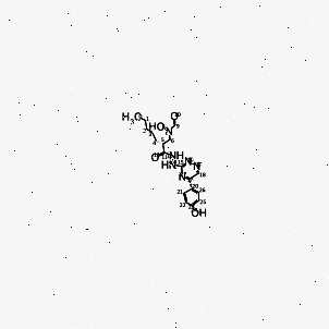 CCCCC[C@H](CN(O)C=O)C(=O)NNc1nncc(-c2ccc(O)cc2)n1